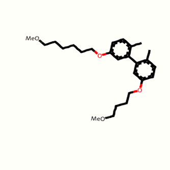 COCCCCCCOc1ccc(C)c(-c2cc(OCCCCOC)ccc2C)c1